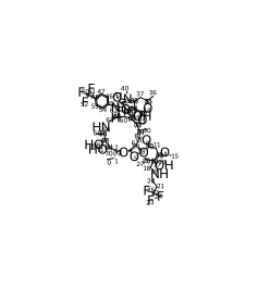 CC[C@H]1OC(=O)[C@H](C)[C@@H](O[C@H]2C[C@@](C)(OC)[C@](O)(CNCCC(F)(F)F)[C@H](C)O2)[C@H](C)[C@@H](O[C@@H]2O[C@H](C)C[C@H](N(C)S(=O)(=O)Nc3ccc(C(F)(F)F)cc3)[C@H]2O)[C@](C)(O)C[C@@H](C)CN[C@H](C)[C@@H](O)[C@]1(C)O